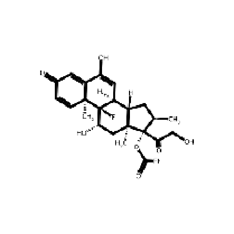 CCC(=O)O[C@@]1(C(=O)CO)[C@H](C)C[C@H]2[C@@H]3C=C(O)C4=CC(=O)C=C[C@]4(C)[C@@]3(F)[C@@H](O)C[C@@]21C